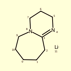 C1CCC2=NCCCN2CC1.[Li]